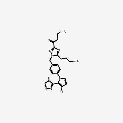 CCCCc1nc(C(=O)CCC)nn1Cc1ccc(-n2ccc(Cl)c2-c2nnn[nH]2)cc1